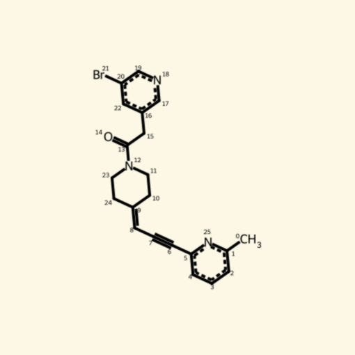 Cc1cccc(C#CC=C2CCN(C(=O)Cc3cncc(Br)c3)CC2)n1